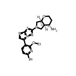 CCOc1nc(C(C)C)ccc1-c1cnc2sc(N3C[C@@H]4[C@@H](N)CCO[C@@H]4C3)nn12